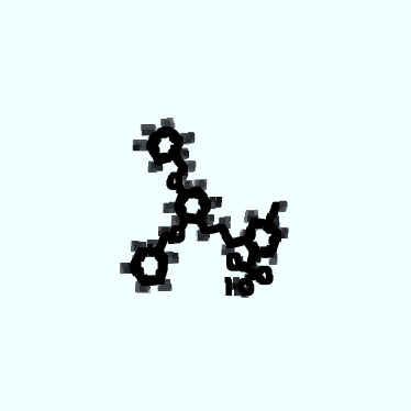 Cc1ccc(S(=O)(=O)O)c(CCCc2ccc(OCc3ccccc3)cc2OCc2ccccc2)c1